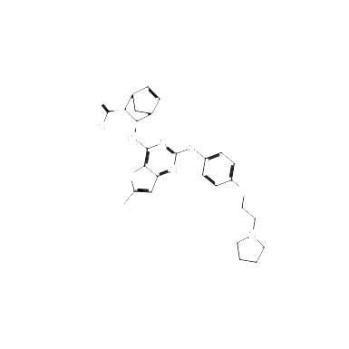 Cc1cc2nc(Nc3ccc(OCCN4CCCC4)cc3)nc(N[C@@H]3C4C=CC(C4)[C@@H]3C(N)=O)c2s1